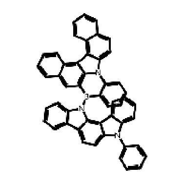 c1ccc(-n2c3ccccc3c3c4c(ccc32)c2ccccc2n4B2c3ccccc3-n3c4ccc5ccccc5c4c4c5ccccc5cc2c43)cc1